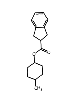 CC1CCC(OC(=O)C2Cc3ccccc3C2)CC1